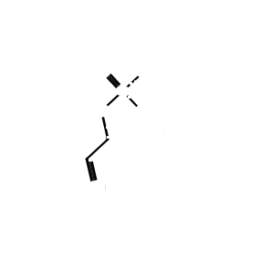 C=CCOP(=O)([O-])[O-].[Zn+2]